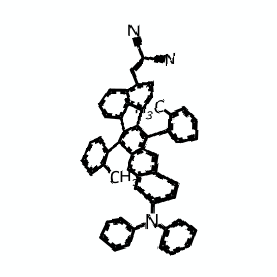 Cc1ccccc1-c1c2c(c(-c3ccccc3C)c3cc4cc(N(c5ccccc5)c5ccccc5)ccc4cc13)-c1cccc3c(C=C(C#N)C#N)ccc-2c13